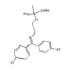 CCc1ccc(C(=NCCO[Si](C)(OC)OC)c2ccc(CC)cc2)cc1